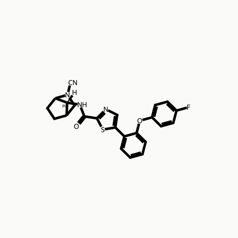 N#CN1CC2CCC1[C@@H]2NC(=O)c1ncc(-c2ccccc2Oc2ccc(F)cc2)s1